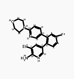 CCc1cc(-c2ccc(F)cc2-c2ccc(N3CCOCC3)nc2)cnc1N